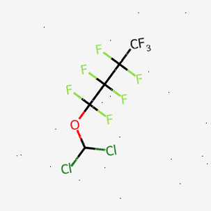 FC(F)(F)C(F)(F)C(F)(F)C(F)(F)OC(Cl)Cl